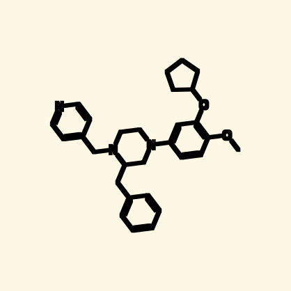 COc1ccc(N2CCN(Cc3ccncc3)C(Cc3ccccc3)C2)cc1OC1CCCC1